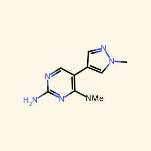 CNc1nc(N)ncc1-c1cnn(C)c1